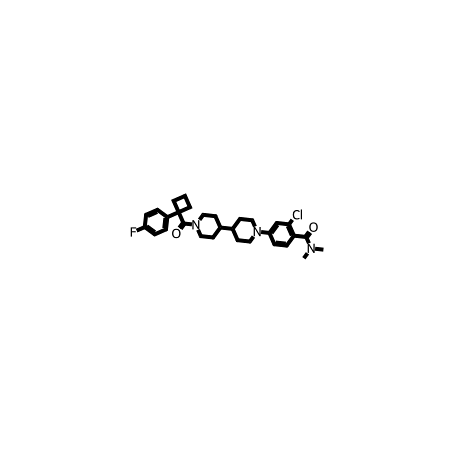 CN(C)C(=O)c1ccc(N2CCC(C3CCN(C(=O)C4(c5ccc(F)cc5)CCC4)CC3)CC2)cc1Cl